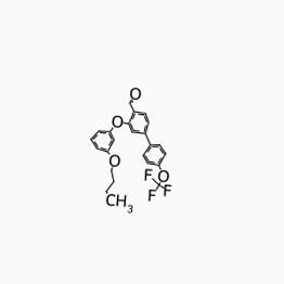 CCCCOc1cccc(Oc2cc(-c3ccc(OC(F)(F)F)cc3)ccc2C=O)c1